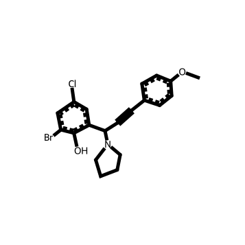 COc1ccc(C#CC(c2cc(Cl)cc(Br)c2O)N2CCCC2)cc1